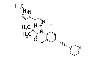 Cn1ccc(-c2cnc3n2C(C)(C)C(=O)N3c2c(F)cc(C#Cc3cccnc3)cc2F)n1